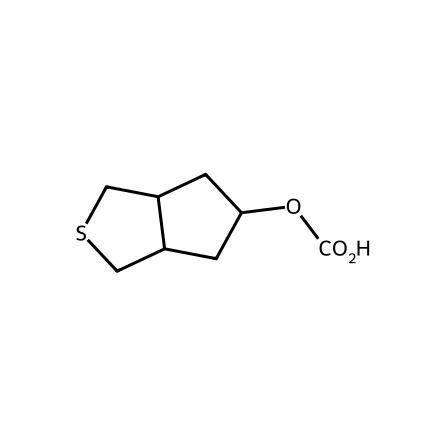 O=C(O)OC1CC2CSCC2C1